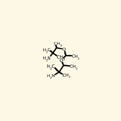 CC(OC(C)C(C)(C)N)OC(C)C(C)(C)N